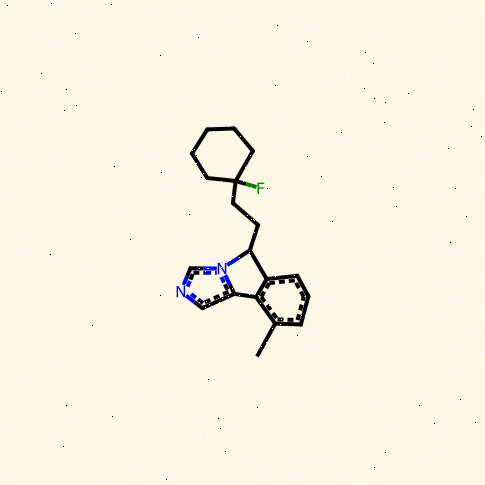 Cc1cccc2c1-c1cncn1C2CCC1(F)CCCCC1